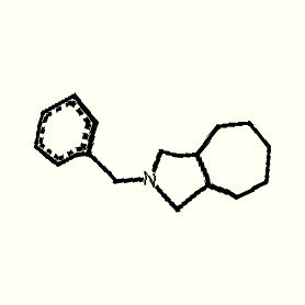 c1ccc(CN2CC3CCCCCC3C2)cc1